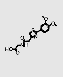 COc1ccc(-c2nc(CC(=O)NCC(=O)O)cs2)cc1OC